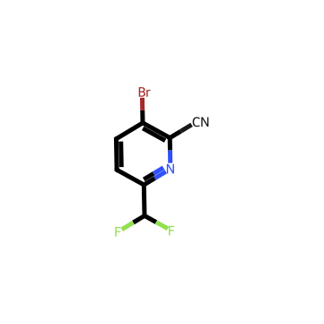 N#Cc1nc(C(F)F)ccc1Br